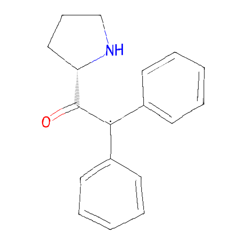 O=C([C](c1ccccc1)c1ccccc1)[C@@H]1CCCN1